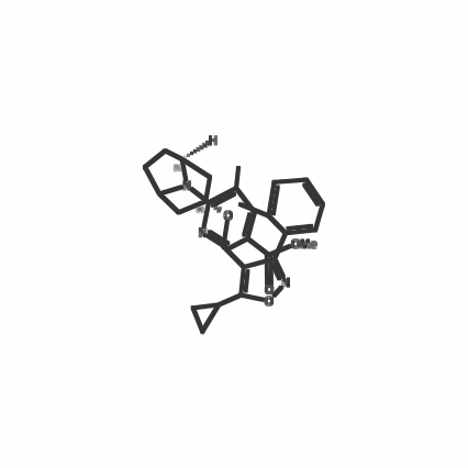 COC(=O)c1cnc(N2C3CC[C@H]2C[C@H](OCc2c(-c4ccccc4C)noc2C2CC2)C3)c(C)c1